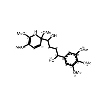 COC1=C(OC)NC(OC)(C(O)CCC(O)c2cc(OC)c(OC)c(OC)c2)C=C1